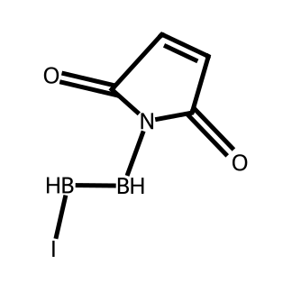 O=C1C=CC(=O)N1BBI